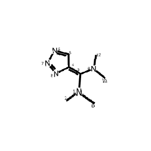 CN(C)C(=C1C=NN=N1)N(C)C